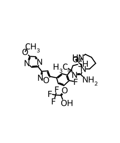 COc1cnc(-c2cc(-c3ccc(F)c([C@]4(C)C[SH]5(=O)NCCCCN5C(N)=N4)c3)on2)cn1.O=C(O)C(F)(F)F